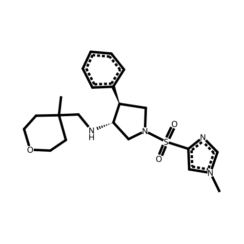 Cn1cnc(S(=O)(=O)N2C[C@H](NCC3(C)CCOCC3)[C@@H](c3ccccc3)C2)c1